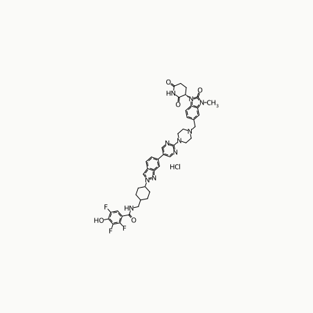 Cl.Cn1c(=O)n([C@@H]2CCC(=O)NC2=O)c2ccc(CN3CCN(c4ncc(-c5ccc6cn(C7CCC(CNC(=O)c8cc(F)c(O)c(F)c8F)CC7)nc6c5)cn4)CC3)cc21